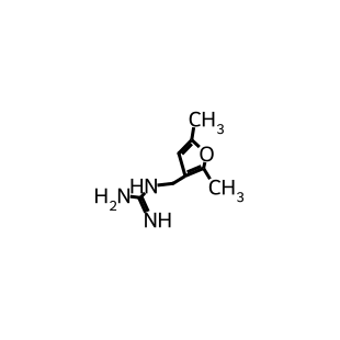 Cc1cc(CNC(=N)N)c(C)o1